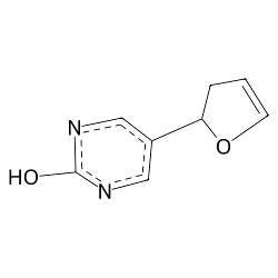 Oc1ncc(C2CC=CO2)cn1